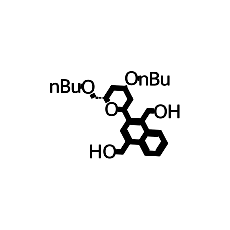 CCCCOC[C@@H]1C[C@H](OCCCC)CC(c2cc(CO)c3ccccc3c2CO)O1